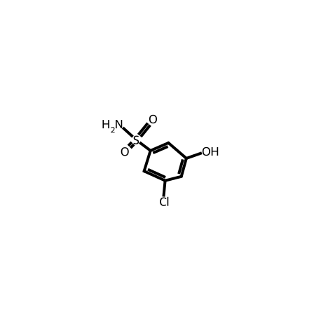 NS(=O)(=O)c1cc(O)cc(Cl)c1